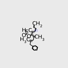 C=C/C=C\[C@H](C)[C@H](OC(=O)F)[C@@H](C)C[C@@H](C)Cc1ccccc1